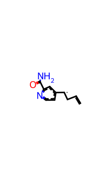 C=CC[CH]c1ccnc(C(N)=O)c1